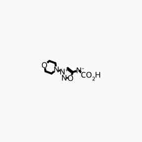 O=C(O)[N-]c1c[n+](N2CCOCC2)no1